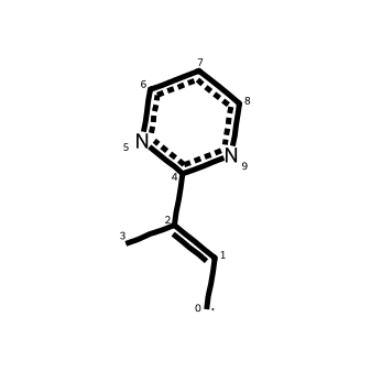 [CH2]C=C(C)c1ncccn1